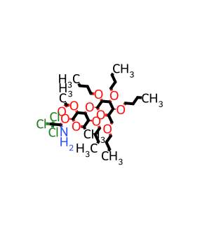 CCCCOCC1O[C@H](OC2C(OC(C)=O)[C@H](OC(N)C(Cl)(Cl)Cl)OC(C)[C@@H]2OCCCC)C(OCCCC)C(OCCCC)[C@@H]1OCCCC